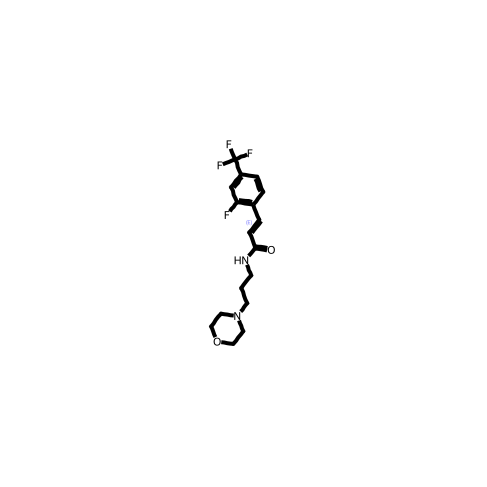 O=C(/C=C/c1ccc(C(F)(F)F)cc1F)NCCCN1CCOCC1